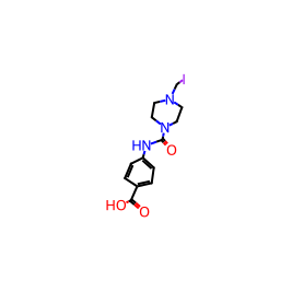 O=C(O)c1ccc(NC(=O)N2CCN(CI)CC2)cc1